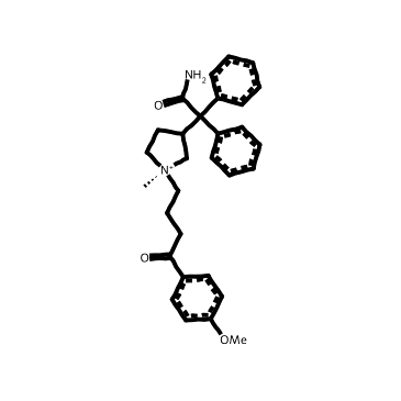 COc1ccc(C(=O)CCC[N@@+]2(C)CCC(C(C(N)=O)(c3ccccc3)c3ccccc3)C2)cc1